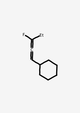 CCC(F)=C=CC1CCCCC1